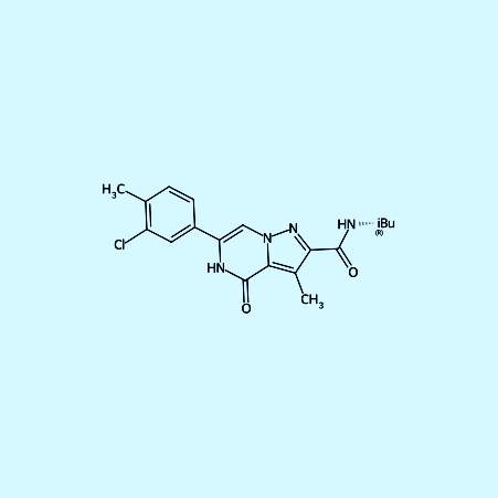 CC[C@@H](C)NC(=O)c1nn2cc(-c3ccc(C)c(Cl)c3)[nH]c(=O)c2c1C